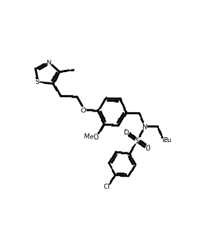 CCC(C)CN(Cc1ccc(OCCc2scnc2C)c(OC)c1)S(=O)(=O)c1ccc(Cl)cc1